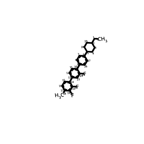 CCC1CCC(c2ccc(-c3ccc(-c4ccc(C)c(F)c4F)cc3F)cc2)CC1